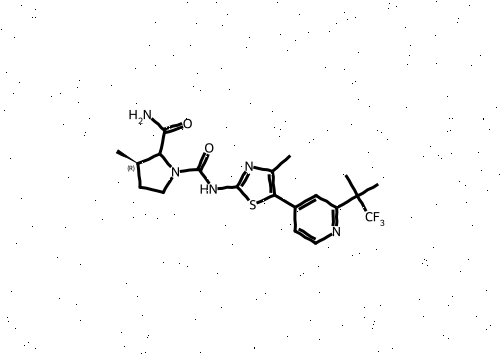 Cc1nc(NC(=O)N2CC[C@@H](C)C2C(N)=O)sc1-c1ccnc(C(C)(C)C(F)(F)F)c1